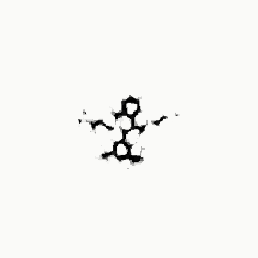 COCCNC(=O)C1c2ccccc2C(=O)N(CCC(=O)N(C)C)C1c1cc(C(F)(F)F)cc(C(F)(F)F)c1